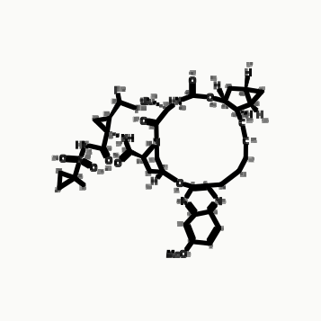 COc1ccc2nc3c(nc2c1)O[C@@H]1C[C@@H](C(=O)N[C@]2(C(=O)NS(=O)(=O)C4(C)CC4)C[C@H]2C(F)F)N(C1)C(=O)[C@H](C(C)(C)C)NC(=O)O[C@@H]1C[C@@H]2C[C@@H]2[C@H]1CCCCC3